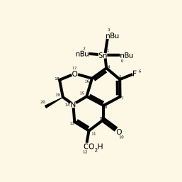 CCC[CH2][Sn]([CH2]CCC)([CH2]CCC)[c]1c(F)cc2c(=O)c(C(=O)O)cn3c2c1OC[C@@H]3C